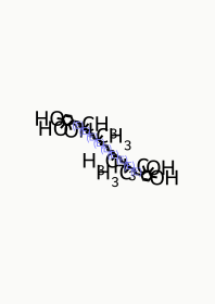 CC(/C=C/C=C(C)/C=C/c1ccc(O)c(O)c1C)=C\C=C\C=C(C)\C=C\C=C(C)\C=C\c1ccc(O)c(O)c1O